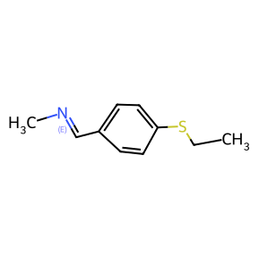 CCSc1ccc(/C=N/C)cc1